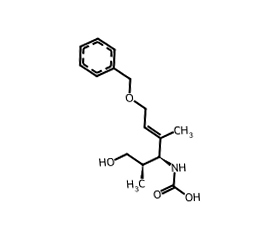 C/C(=C\COCc1ccccc1)[C@@H](NC(=O)O)[C@@H](C)CO